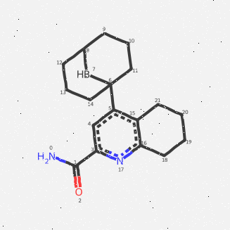 NC(=O)c1cc(C23BC(CCC2)CCC3)c2c(n1)CCCC2